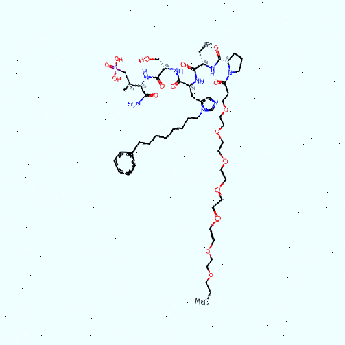 COCCOCCOCCOCCOCCOCCOCCOCCC(=O)N1CCC[C@H]1C(=O)N[C@@H](CC(C)C)C(=O)N[C@@H](Cc1cncn1CCCCCCCCc1ccccc1)C(=O)N[C@@H](CO)C(=O)N[C@H](C(N)=O)[C@@H](C)CP(=O)(O)O